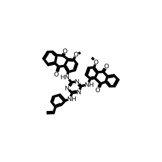 C=Cc1cccc(Nc2nc(Nc3ccc(OC)c4c3C(=O)c3ccccc3C4=O)nc(Nc3ccc(OC)c4c3C(=O)c3ccccc3C4=O)n2)c1